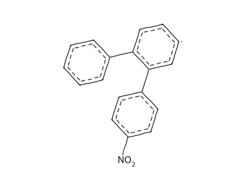 O=[N+]([O-])c1ccc(-c2c[c]ccc2-c2ccccc2)cc1